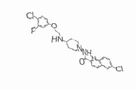 O=C(NN1CCC(NCCOc2ccc(Cl)c(F)c2)CC1)c1ccc2cc(Cl)ccc2n1